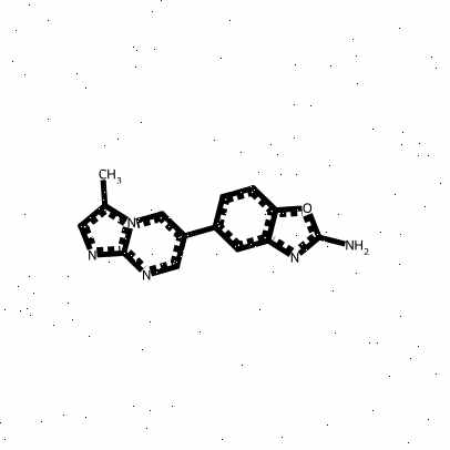 Cc1cnc2ncc(-c3ccc4oc(N)nc4c3)cn12